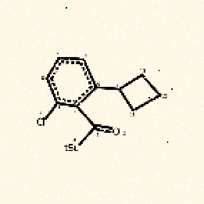 CC(C)(C)C(=O)c1c(Cl)cccc1C1CCC1